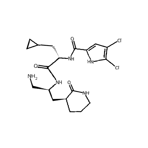 NC[C@H](C[C@@H]1CCCNC1=O)NC(=O)[C@H](CC1CC1)NC(=O)c1cc(Cl)c(Cl)[nH]1